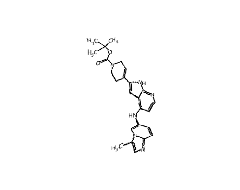 Cc1cnc2ccc(Nc3ccnc4[nH]c(C5=CCN(C(=O)OC(C)(C)C)CC5)cc34)cn12